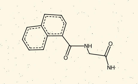 [NH]C(=O)CNC(=O)c1cccc2ccccc12